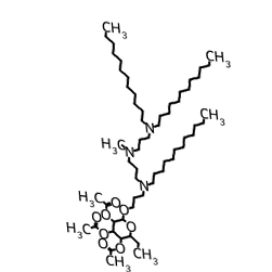 CCCCCCCCCCCCN(CCCCCCCCCCCC)CCCN(C)CCCN(CCCCCCCCCCCC)CCCOC1OC(CC)C(OC(C)=O)C(OC(C)=O)C1OC(C)=O